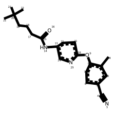 Cc1cc(C#N)ccc1Oc1ccc(NC(=O)CCCC(C)(C)C)cn1